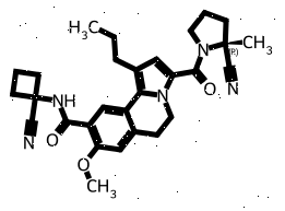 CCCc1cc(C(=O)N2CCC[C@]2(C)C#N)n2c1-c1cc(C(=O)NC3(C#N)CCC3)c(OC)cc1CC2